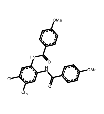 COc1ccc(C(=O)Nc2cc(Cl)c(C(F)(F)F)cc2NC(=O)c2ccc(OC)cc2)cc1